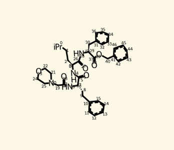 CC(C)CC[C@H](NC(=O)[C@H](CCc1ccccc1)NC(=O)CN1CCOCC1)C(=O)N[C@@H](Cc1ccccc1)C(=O)OCc1ccccc1